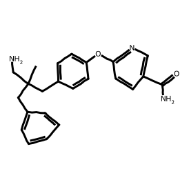 CC(CN)(Cc1ccccc1)Cc1ccc(Oc2ccc(C(N)=O)cn2)cc1